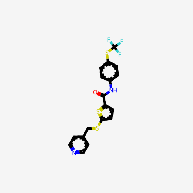 O=C(Nc1ccc(SC(F)(F)F)cc1)c1ccc(SCc2ccncc2)s1